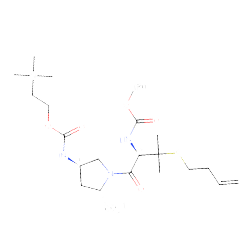 C=CCCSC(C)(C)[C@H](NC(=O)OC(C)(C)C)C(=O)N1C[C@H](NC(=O)OCC[Si](C)(C)C)C[C@H]1C(=O)O